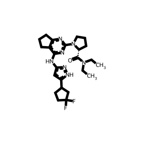 CCN(CC)C(=O)[C@H]1CCCN1c1nc2c(c(Nc3cc(C4CCC(F)(F)C4)[nH]n3)n1)CCC2